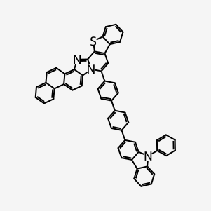 c1ccc(-n2c3ccccc3c3ccc(-c4ccc(-c5ccc(-c6cc7c8ccccc8sc7c7nc8c9ccc%10ccccc%10c9ccc8n67)cc5)cc4)cc32)cc1